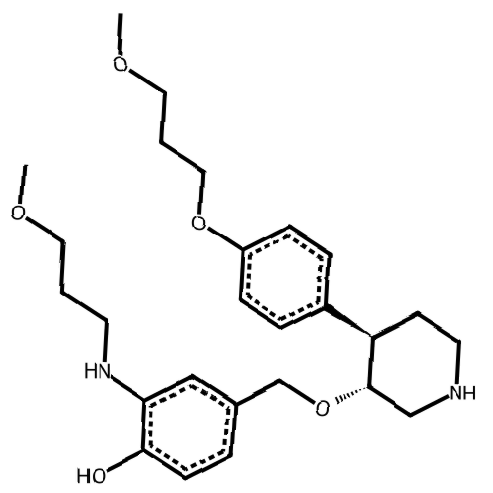 COCCCNc1cc(CO[C@H]2CNCC[C@@H]2c2ccc(OCCCOC)cc2)ccc1O